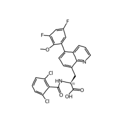 COc1c(F)cc(F)cc1-c1ccc(C[C@H](NC(=O)c2c(Cl)cccc2Cl)C(=O)O)c2ncccc12